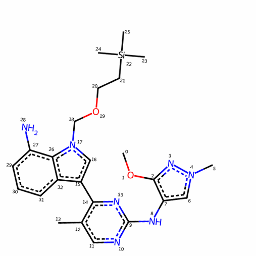 COc1nn(C)cc1Nc1ncc(C)c(-c2cn(COCC[Si](C)(C)C)c3c(N)cccc23)n1